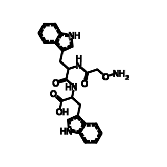 NOCC(=O)NC(Cc1c[nH]c2ccccc12)C(=O)NC(Cc1c[nH]c2ccccc12)C(=O)O